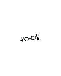 CCC(=O)N1CCN(c2ccc(C(C)(C)CC)cc2)CC1